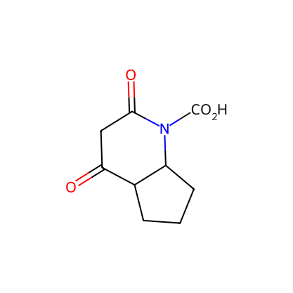 O=C1CC(=O)N(C(=O)O)C2CCCC12